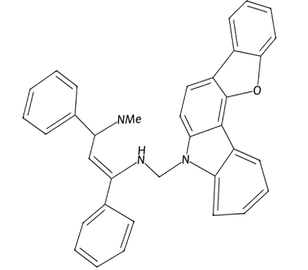 CNC(/C=C(\NCn1c2ccccc2c2c3oc4ccccc4c3ccc21)c1ccccc1)c1ccccc1